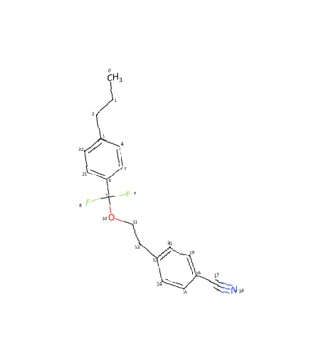 CCCc1ccc(C(F)(F)OCCc2ccc(C#N)cc2)cc1